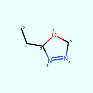 CCC1N=NCO1